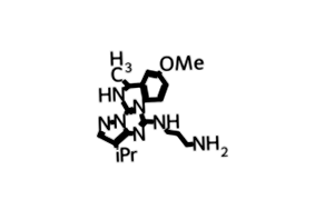 COc1cccc(C(C)Nc2nc(NCCCN)nc3c(C(C)C)cnn23)c1